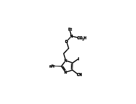 CCCc1nc(C#N)c(I)n1CCON(CC)C(=O)O